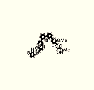 COC(=O)[C@@H](CO)NCc1ccc(-c2cccc(-c3cccc(-c4ccn5c(=O)c(CNC[C@H]6CCC(=O)N6)cnc5c4)c3Cl)c2Cl)nc1OC